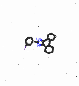 Ic1cccc(-c2nc3c4ccccc4c4ccccc4c3[nH]2)c1